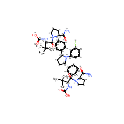 CC(C)(C)[C@H](NC(=O)O)C(=O)N1CCC[C@@]1(C(N)=O)c1ccc([C@@H]2CC[C@@H](c3ccc([C@]4(C(N)=O)CCCN4C(=O)[C@@H](NC(=O)O)C(C)(C)C)cc3)N2c2cccc(F)c2)cc1